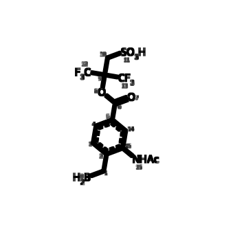 BCc1ccc(C(=O)OC(CS(=O)(=O)O)(C(F)(F)F)C(F)(F)F)cc1NC(C)=O